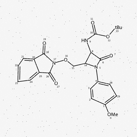 COc1ccc(N2C(=O)C(NC(=O)OC(C)(C)C)C2CON2C(=O)c3ccccc3C2=O)cc1